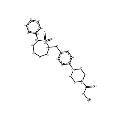 O=C(CO)N1CCN(c2ccc(CN3CCCC[C@@H](c4ccccc4)S3(=O)=O)cc2)CC1